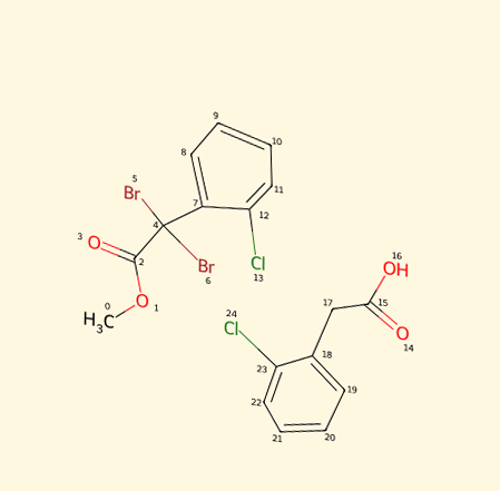 COC(=O)C(Br)(Br)c1ccccc1Cl.O=C(O)Cc1ccccc1Cl